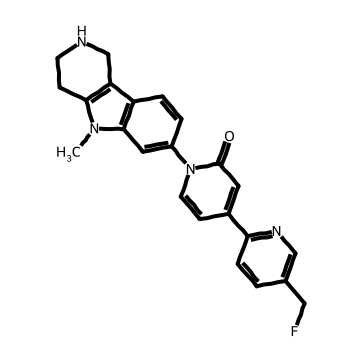 Cn1c2c(c3ccc(-n4ccc(-c5ccc(CF)cn5)cc4=O)cc31)CNCC2